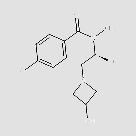 CC[C@@H](CN1CC(O)C1)N(C)C(=O)c1ccc(Cl)cc1